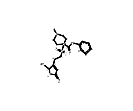 CN1CC[N+](C(=O)Nc2ccccc2)(S(=O)(=O)CCC2=CC(=O)OC2O)CC1